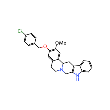 COc1cc2c(cc1OCc1ccc(Cl)cc1)CCN1Cc3[nH]c4ccccc4c3CC21